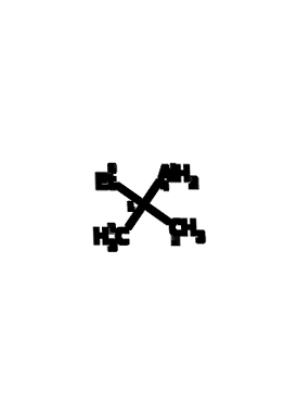 CC[C](C)(C)[AlH2]